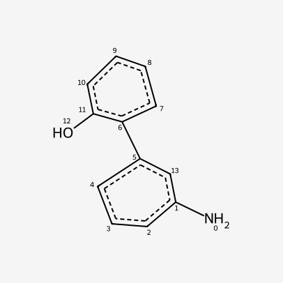 Nc1cccc(-c2ccccc2O)c1